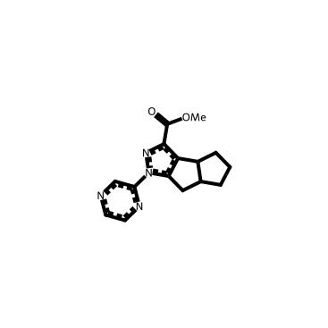 COC(=O)c1nn(-c2cnccn2)c2c1C1CCCC1C2